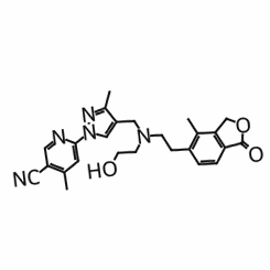 Cc1cc(-n2cc(CN(CCO)CCc3ccc4c(c3C)COC4=O)c(C)n2)ncc1C#N